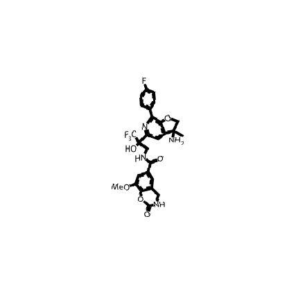 COc1cc(C(=O)NCC(O)(c2cc3c(c(-c4ccc(F)cc4)n2)OCC3(C)N)C(F)(F)F)cc2c1OC(=O)NC2